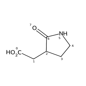 O=C(O)CC1CCNC1=O